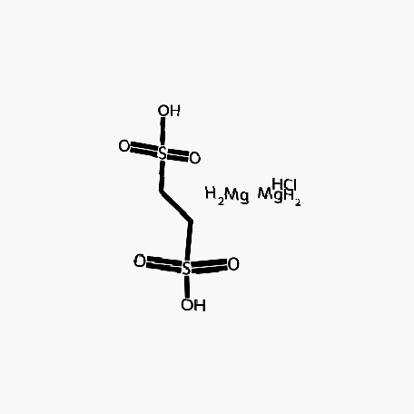 Cl.O=S(=O)(O)CCS(=O)(=O)O.[MgH2].[MgH2]